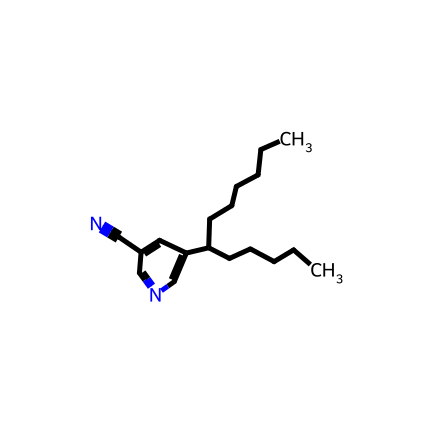 CCCCCCC(CCCCC)c1cncc(C#N)c1